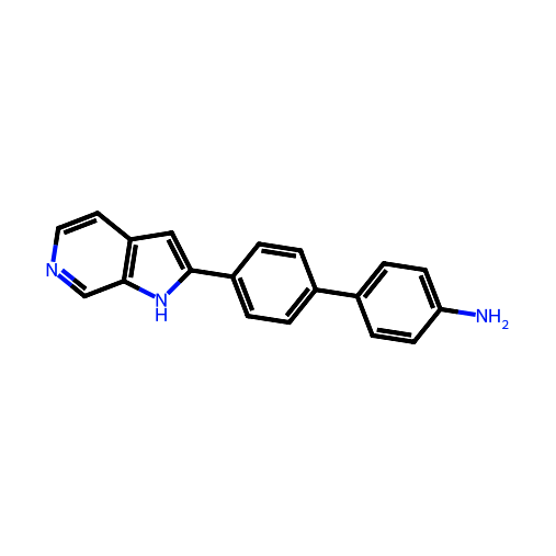 Nc1ccc(-c2ccc(-c3cc4ccncc4[nH]3)cc2)cc1